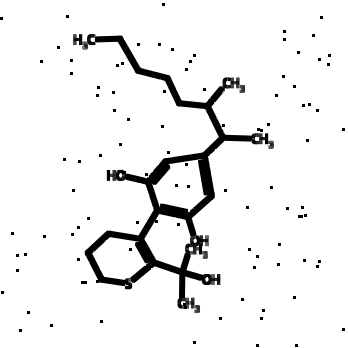 CCCCCC(C)C(C)c1cc(O)c(C2=C(C(C)(C)O)SCCC2)c(O)c1